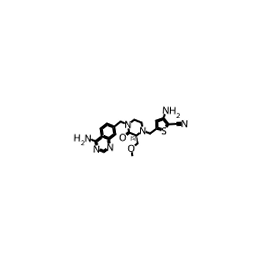 COC[C@H]1C(=O)N(Cc2ccc3c(N)ncnc3c2)CCN1Cc1cc(N)c(C#N)s1